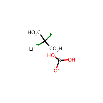 O=C(O)C(F)(F)C(=O)O.[Li+].[O-]B(O)O